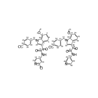 COc1cccc2c(C(=O)C(=O)Nc3ccnc(Cl)c3)cn(Cc3ccc(Cl)cc3)c12.COc1cccc2c(C(=O)C(=O)Nc3ccncc3)cn(Cc3ccc(Cl)cc3)c12